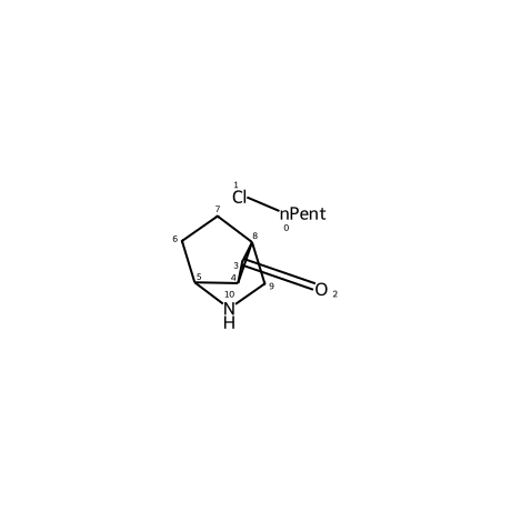 CCCCCCl.O=C1C2C3CCC12CN3